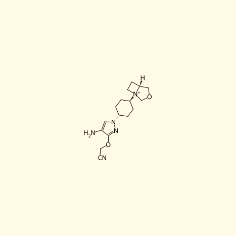 N#CCOc1nn([C@H]2CC[C@H]([N+]34CC[C@@H]3COC4)CC2)cc1N